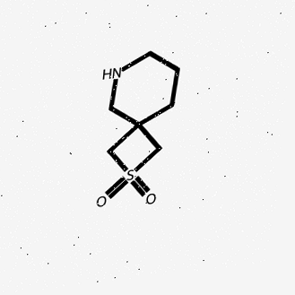 O=S1(=O)CC2(CCCNC2)C1